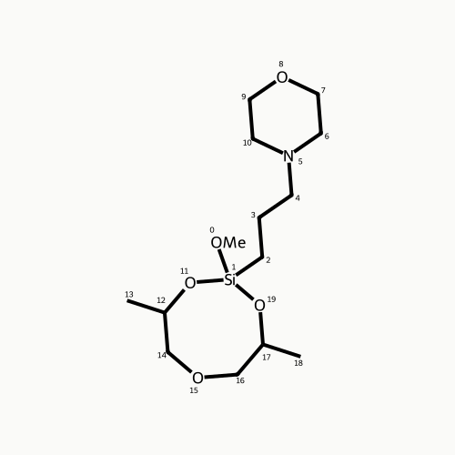 CO[Si]1(CCCN2CCOCC2)OC(C)COCC(C)O1